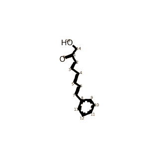 O=C(/C=C/C=C/C=C/c1ccccc1)CO